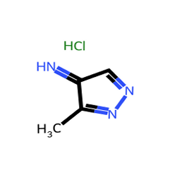 CC1=NN=CC1=N.Cl